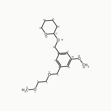 COCCOCc1cc(COC2CCCCO2)cc(OC)c1